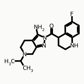 CC(C)N1CCc2c(nn(C(=O)C3CCNc4ccc(F)cc43)c2N)C1